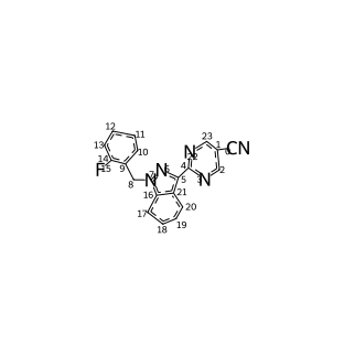 N#Cc1cnc(-c2nn(Cc3ccccc3F)c3ccccc23)nc1